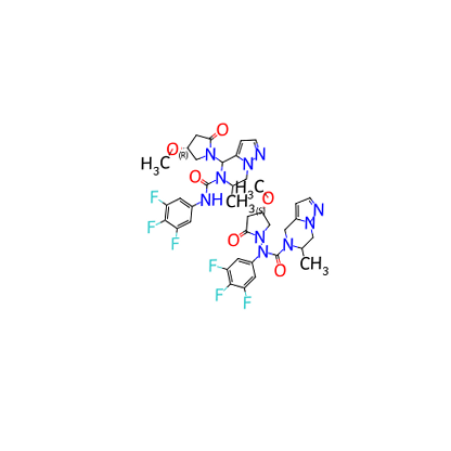 CO[C@@H]1CC(=O)N(C2c3ccnn3CC(C)N2C(=O)Nc2cc(F)c(F)c(F)c2)C1.CO[C@H]1CC(=O)N(N(C(=O)N2Cc3ccnn3CC2C)c2cc(F)c(F)c(F)c2)C1